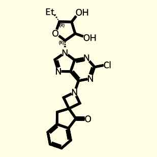 CC[C@H]1O[C@@H](n2cnc3c(N4CC5(Cc6ccccc6C5=O)C4)nc(Cl)nc32)C(O)C1O